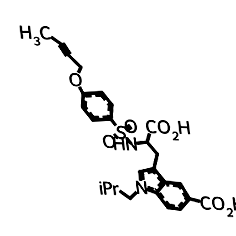 CC#CCOc1ccc(S(=O)(=O)NC(Cc2cn(CC(C)C)c3ccc(C(=O)O)cc23)C(=O)O)cc1